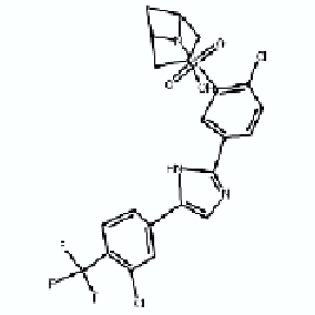 O=S(=O)(c1cc(-c2ncc(-c3ccc(C(F)(F)F)c(Cl)c3)[nH]2)ccc1Cl)N1C2CC(O)CC1C2